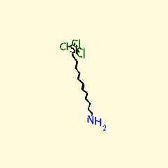 NCCCCCCCCCCCC[Si](Cl)(Cl)Cl